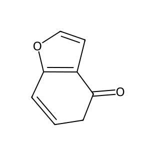 O=C1CC=Cc2occc21